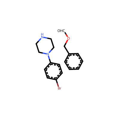 Brc1ccc(N2CCNCC2)cc1.O=COCc1ccccc1